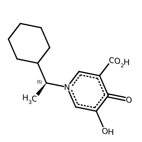 C[C@@H](C1CCCCC1)n1cc(O)c(=O)c(C(=O)O)c1